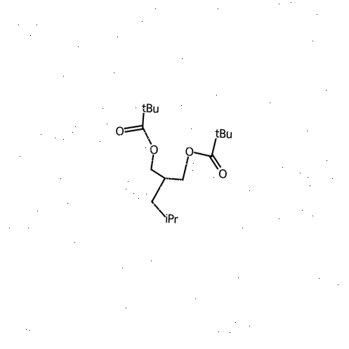 CC(C)CC(COC(=O)C(C)(C)C)COC(=O)C(C)(C)C